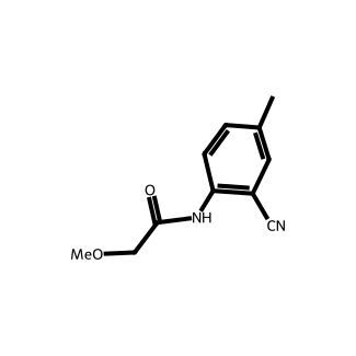 COCC(=O)Nc1ccc(C)cc1C#N